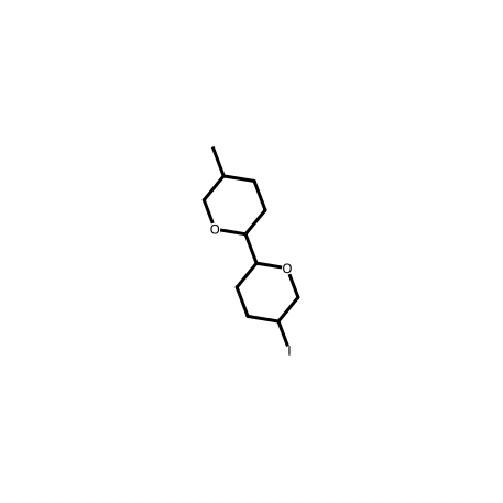 CC1CCC(C2CCC(I)CO2)OC1